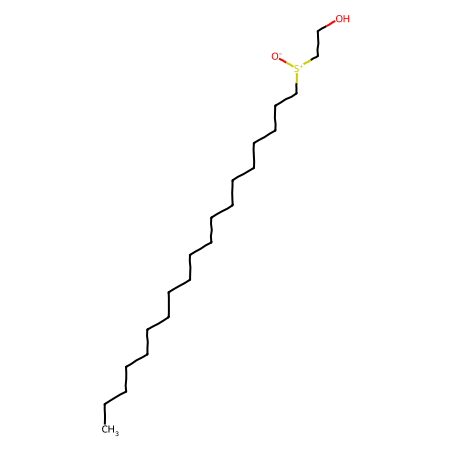 CCCCCCCCCCCCCCCCCCC[S+]([O-])CCO